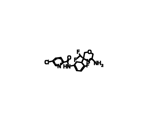 NC1=N[C@](C(F)F)(C2CC(NC(=O)c3ccc(Cl)cn3)=CC=C2F)COC1